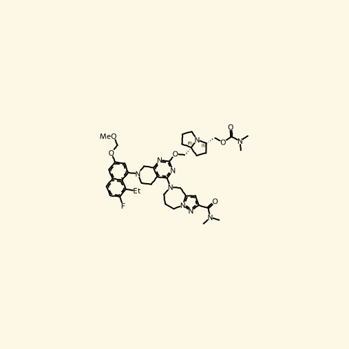 CCc1c(F)ccc2cc(OCOC)cc(N3CCc4c(nc(OC[C@]56CCCN5[C@H](COC(=O)N(C)C)CC6)nc4N4CCCn5nc(C(=O)N(C)C)cc5C4)C3)c12